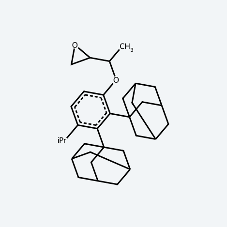 CC(C)c1ccc(OC(C)C2CO2)c(C23CC4CC(CC(C4)C2)C3)c1C12CC3CC(CC(C3)C1)C2